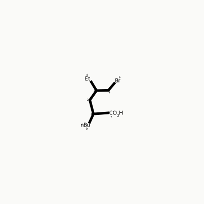 CCCCC(CC(CC)CBr)C(=O)O